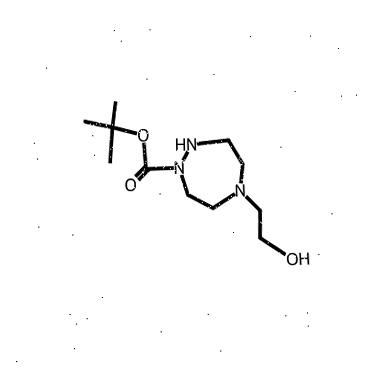 CC(C)(C)OC(=O)N1CCN(CCO)CCN1